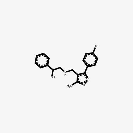 Cc1noc(-c2ccc(Br)cc2)c1CNCC(O)c1ccccc1